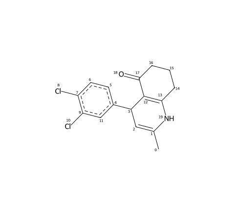 CC1=CC(c2ccc(Cl)c(Cl)c2)C2=C(CCCC2=O)N1